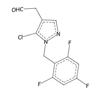 O=CCc1cnn(Cc2c(F)cc(F)cc2F)c1Cl